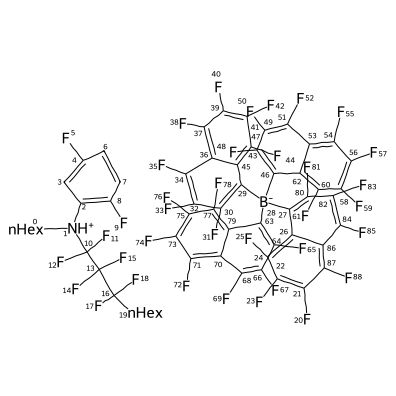 CCCCCC[NH+](c1cc(F)ccc1F)C(F)(F)C(F)(F)C(F)(F)CCCCCC.Fc1c(F)c(F)c2c([B-](c3c(F)c(F)c(F)c4c(F)c(F)c(F)c(F)c34)(c3c(F)c(F)c(F)c4c(F)c(F)c(F)c(F)c34)c3c(F)c(F)c(F)c4c(F)c(F)c(F)c(F)c34)c(F)c(F)c(F)c2c1F